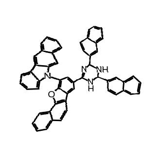 c1ccc2cc(C3N=C(c4cc(-n5c6ccccc6c6cc7ccccc7cc65)c5oc6c7ccccc7ccc6c5c4)NC(c4ccc5ccccc5c4)N3)ccc2c1